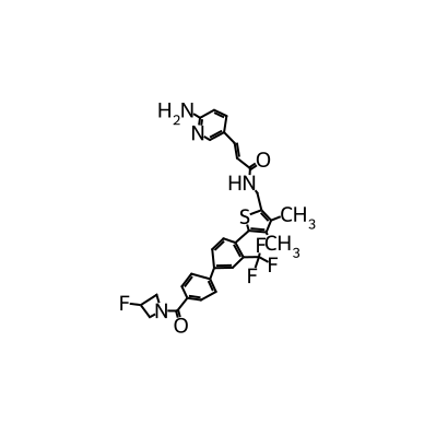 Cc1c(CNC(=O)C=Cc2ccc(N)nc2)sc(-c2ccc(-c3ccc(C(=O)N4CC(F)C4)cc3)cc2C(F)(F)F)c1C